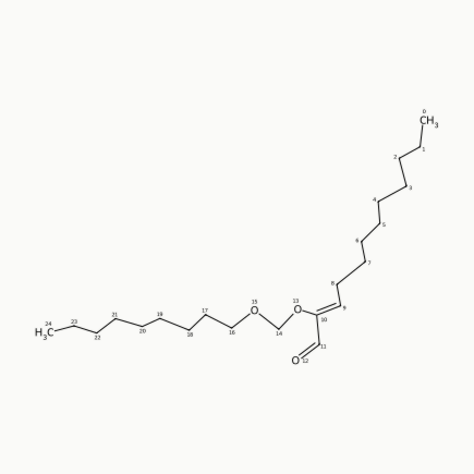 CCCCCCCCCC=C(C=O)OCOCCCCCCCCC